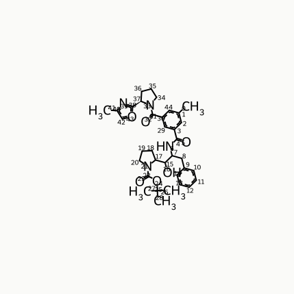 Cc1cc(C(=O)NC(Cc2ccccc2)C(O)C2CCCN2C(=O)OC(C)(C)C)cc(C(=O)N2CCC[C@@H]2c2nc(C)co2)c1